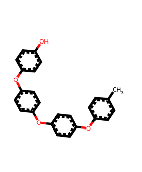 Cc1ccc(Oc2ccc(Oc3ccc(Oc4ccc(O)cc4)cc3)cc2)cc1